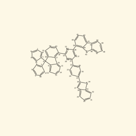 c1ccc(C2(c3ccccc3)c3ccccc3-c3c(-c4nc(-c5ccc(-c6cc7ccccc7s6)cc5)nc(-c5cccc6c5sc5ccccc56)n4)cccc32)cc1